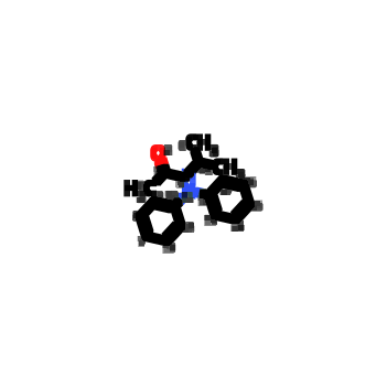 CC(=O)CC(C)C.c1ccc(Nc2ccccc2)cc1